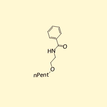 CCCCCOCCNC(=O)c1ccccc1